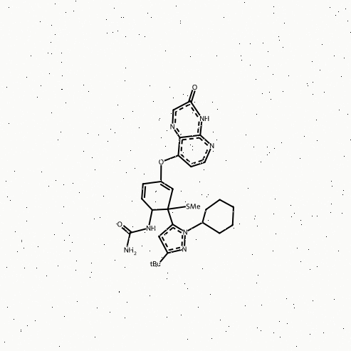 CSC1(c2cc(C(C)(C)C)nn2C2CCCCC2)C=C(Oc2ccnc3[nH]c(=O)cnc23)C=CC1NC(N)=O